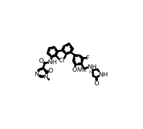 COc1cc(-c2cccc(-c3cccc(NC(=O)c4cncn(C)c4=O)c3C)c2Cl)cc(F)c1CN[C@@H]1CNC(=O)C1